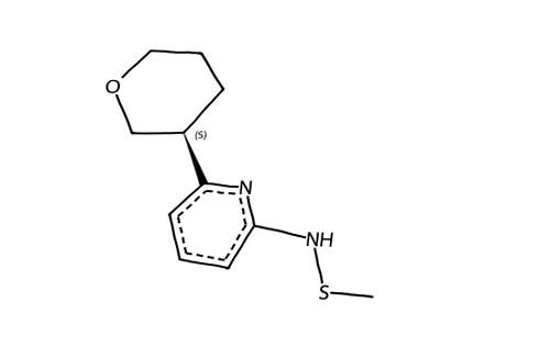 CSNc1cccc([C@@H]2CCCOC2)n1